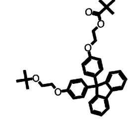 CC(C)(C)OCCOc1ccc(C2(c3ccc(OCCOC(=O)C(C)(C)C)cc3)c3ccccc3-c3ccccc32)cc1